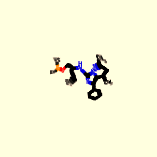 CCP(CC)OCC(CC(C)C)Nc1nc(-c2ccccc2)c2c(C)cc(C)nn12